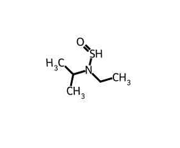 CCN([SH]=O)C(C)C